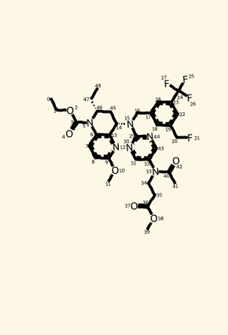 CCOC(=O)N1c2ccc(OC)nc2[C@@H](N(Cc2cc(CF)cc(C(F)(F)F)c2)c2ncc(N(CCC(=O)OC)C(C)=O)cn2)C[C@H]1CC